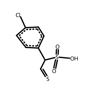 O=S(=O)(O)C(C=S)c1ccc(Cl)cc1